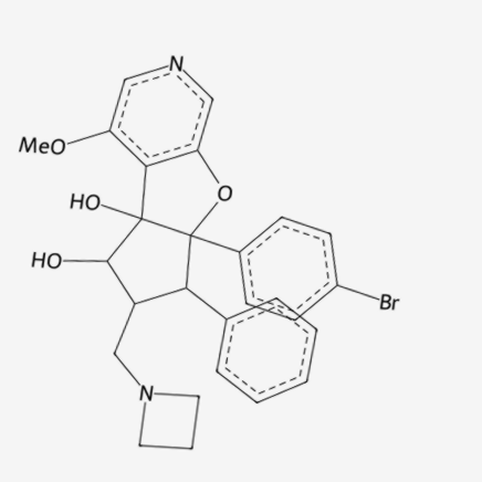 COc1cncc2c1C1(O)C(O)C(CN3CCC3)C(c3ccccc3)C1(c1ccc(Br)cc1)O2